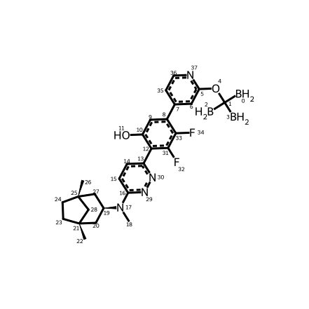 BC(B)(B)Oc1cc(-c2cc(O)c(-c3ccc(N(C)[C@H]4C[C@]5(C)CC[C@](C)(C4)C5)nn3)c(F)c2F)ccn1